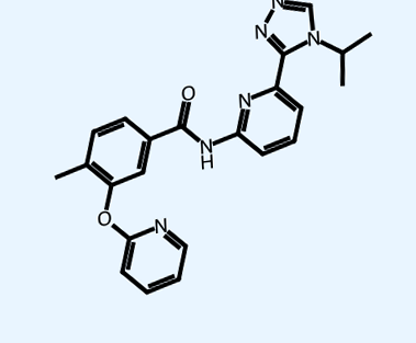 Cc1ccc(C(=O)Nc2cccc(-c3nncn3C(C)C)n2)cc1Oc1ccccn1